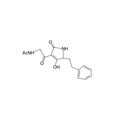 CC(=O)NCC(=O)C1=C(O)C(CCc2ccccc2)NC1=O